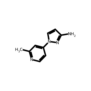 Cc1cc(-n2ccc(N)n2)ccn1